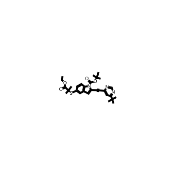 CCOC(=O)C(C)(C)Sc1ccc2c(c1)cc(C#Cc1cc(C(C)(C)C)ncn1)n2C(=O)OC(C)(C)C